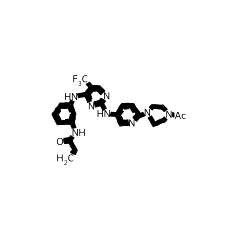 C=CC(=O)Nc1cccc(Nc2nc(Nc3ccc(N4CCN(C(C)=O)CC4)nc3)ncc2C(F)(F)F)c1